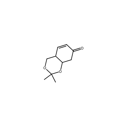 CC1(C)OCC2C=CC(=O)CC2O1